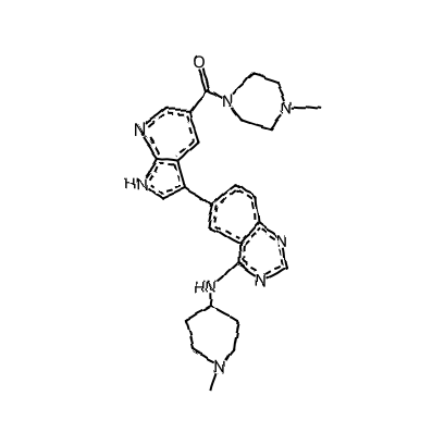 CN1CCC(Nc2ncnc3ccc(-c4c[nH]c5ncc(C(=O)N6CCN(C)CC6)cc45)cc23)CC1